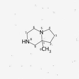 CC12CCCN1CCNC2